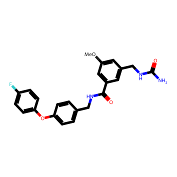 COc1cc(CNC(N)=O)cc(C(=O)NCc2ccc(Oc3ccc(F)cc3)cc2)c1